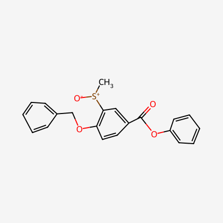 C[S+]([O-])c1cc(C(=O)Oc2ccccc2)ccc1OCc1ccccc1